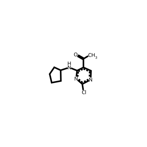 CC(=O)c1cnc(Cl)nc1NC1CCCC1